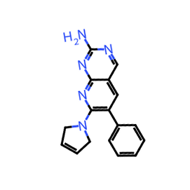 Nc1ncc2cc(-c3ccccc3)c(N3CC=CC3)nc2n1